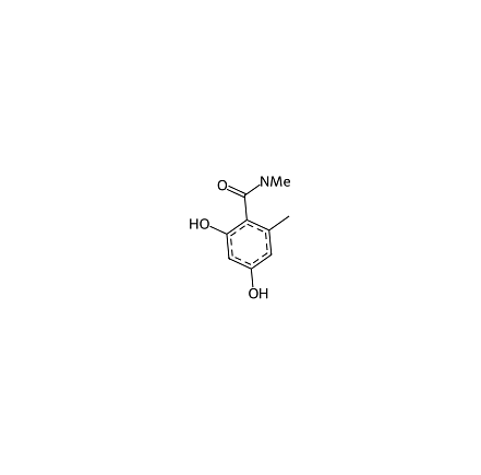 CNC(=O)c1c(C)cc(O)cc1O